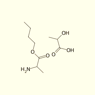 CC(O)C(=O)O.CCCCOC(=O)C(C)N